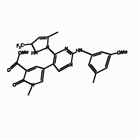 COC(=O)c1cc(-c2cnc(Nc3cc(C)cc(OC)c3)nc2N2NC(C(F)(F)F)C=C2C)cn(C)c1=O